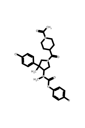 CC(=O)N1CCC(C(=O)N2CC(N(C)C(=O)Oc3ccc(F)cc3)C(C)(c3ccc(Cl)cc3)C2)CC1